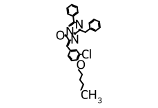 CCCCCCOc1ccc(/C=C2\N=C3C(Cc4ccccc4)=NC(c4ccccc4)=CN3C2=O)cc1Cl